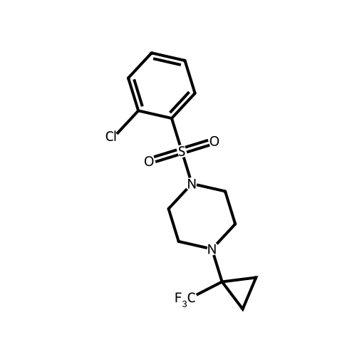 O=S(=O)(c1ccccc1Cl)N1CCN(C2(C(F)(F)F)CC2)CC1